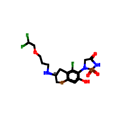 O=C1CN(c2c(O)cc3c(c2F)C[C@H](NCCCOCC(F)F)CS3)S(=O)(=O)N1